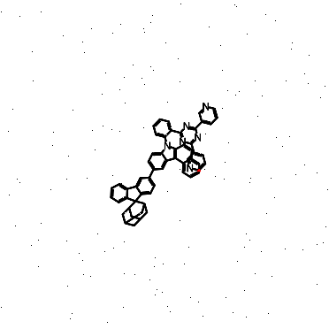 c1cncc(-c2nc(-c3cccnc3)nc(-c3ccccc3-n3c4ccc(-c5ccc6c(c5)-c5ccccc5C65C6CC7CC(C6)CC5C7)cc4c4c5ccccc5ccc43)n2)c1